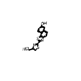 OCC1CSC(c2nc3ccc4cc(O)ccc4c3s2)=N1